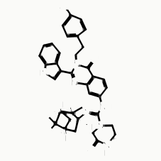 C[C@@H]1[C@@H](N=C(Nc2ccc3c(=O)n(CCc4ccc(Cl)cc4)c(-c4c[nH]c5ccccc45)nc3c2)N2CC(=O)N[C@@H](C)C2)C[C@H]2C[C@@H]1C2(C)C